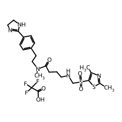 Cc1nc(C)c(S(=O)(=O)CNCCCC(=O)N(C)CCc2ccc(C3=NCCN3)cc2)s1.O=C(O)C(F)(F)F